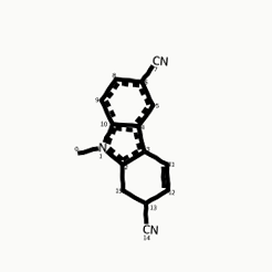 Cn1c2c(c3cc(C#N)ccc31)C=CC(C#N)C2